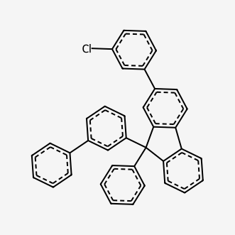 Clc1cccc(-c2ccc3c(c2)C(c2ccccc2)(c2cccc(-c4ccccc4)c2)c2ccccc2-3)c1